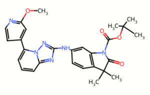 COc1cc(-c2cccc3nc(Nc4ccc5c(c4)N(C(=O)OC(C)(C)C)C(=O)C5(C)C)nn23)ccn1